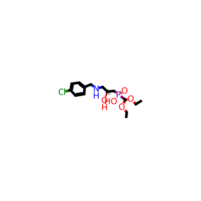 CCOC(OCC)P(=O)(O)C[C@@H](O)CNCc1ccc(Cl)cc1